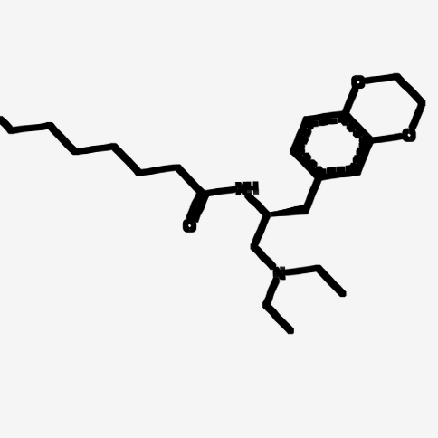 CCCCCCCC(=O)N[C@@H](Cc1ccc2c(c1)OCCO2)CN(CC)CC